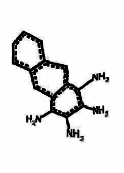 Nc1c(N)c(N)c2cc3ccccc3cc2c1N